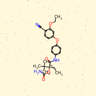 CCOc1cc(Oc2ccc(NC(=O)[C@](CC)(OC(N)=O)C(C)(C)C)cc2)ccc1C#N